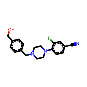 N#Cc1ccc(N2CCN(Cc3ccc(CO)cc3)CC2)c(F)c1